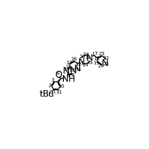 CC(C)(C)c1ccc(C(=O)Nc2cn3nc(N4CCN(Cc5ccncc5)CC4)ccc3n2)cc1